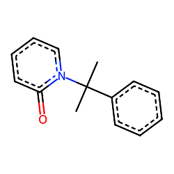 CC(C)(c1ccccc1)n1ccccc1=O